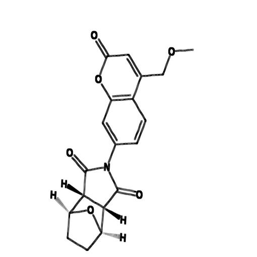 COCc1cc(=O)oc2cc(N3C(=O)[C@@H]4[C@H](C3=O)[C@H]3CC[C@@H]4O3)ccc12